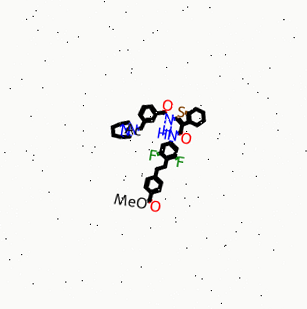 COC(=O)c1ccc(CCc2c(F)cc(NC(=O)c3c(NC(=O)c4cccc(CN5CC6CCC(C5)N6C(C)=O)c4)sc4c3CCCC4)cc2F)cc1